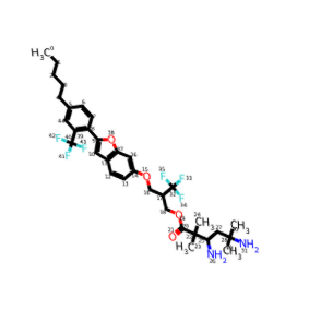 CCCCCc1ccc(-c2cc3ccc(OCC(COC(=O)C(C)(C)C(N)CC(C)(C)N)C(F)(F)F)cc3o2)c(C(F)(F)F)c1